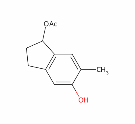 CC(=O)OC1CCc2cc(O)c(C)cc21